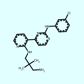 CC(C)(CN)CNc1ncccc1-c1ccnc(Nc2cccc(Cl)c2)n1